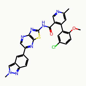 COc1ccc(Cl)cc1-c1cc(C)ncc1C(=O)Nc1nc2ncc(-c3ccc4nn(C)cc4c3)nc2s1